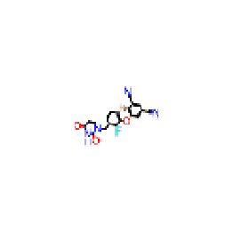 N#Cc1cc(C#N)cc(Oc2c(Br)ccc(Cn3ccc(=O)[nH]c3=O)c2F)c1